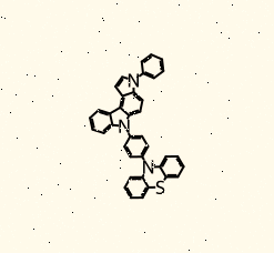 c1ccc(-n2ccc3c4c5ccccc5n(-c5ccc(N6c7ccccc7Sc7ccccc76)cc5)c4ccc32)cc1